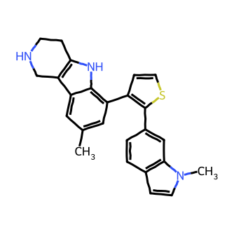 Cc1cc(-c2ccsc2-c2ccc3ccn(C)c3c2)c2[nH]c3c(c2c1)CNCC3